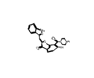 O=C1C(=Cc2n[nH]c3ccccc23)Oc2c1ccc(O)c2C(=O)N1CCNCC1